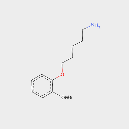 COc1ccccc1OCCCCCN